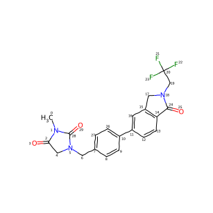 CN1C(=O)CN(Cc2ccc(-c3ccc4c(c3)CN(CC(F)(F)F)C4=O)cc2)C1=O